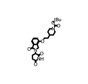 CC(C)(C)OC(=O)N1CCC(CCOc2cccc3c2CN(C2CCC(=O)NC2=O)C3=O)CC1